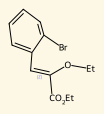 CCOC(=O)/C(=C/c1ccccc1Br)OCC